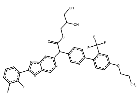 CCCOc1ccc(-c2ccc(C(C(=O)OCC(O)CO)n3cc4nc(-c5cccc(F)c5F)nc-4cn3)cn2)c(C(F)(F)F)c1